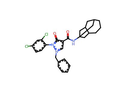 O=C(NC12CC3CCCC(C1)C(C3)C2)c1cn(Cc2ccccc2)n(-c2ccc(Cl)cc2Cl)c1=O